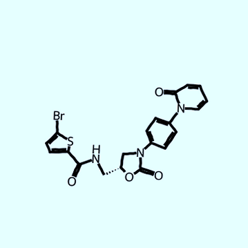 O=C(NC[C@@H]1CN(c2ccc(-n3ccccc3=O)cc2)C(=O)O1)c1ccc(Br)s1